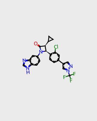 O=C1[C@@H](C2CC2)[C@@H](c2ccc(-c3cnn(C(F)(F)F)c3)cc2Cl)N1c1ccc2[nH]cnc2c1